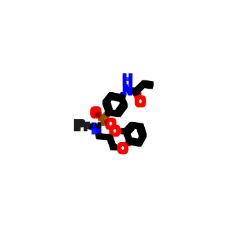 C=CC(=O)Nc1ccc(S(=O)(=O)N(CC2COc3ccccc3O2)C(C)C)cc1